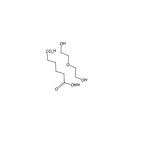 COC(=O)CCCCC(=O)O.OCCOCCO